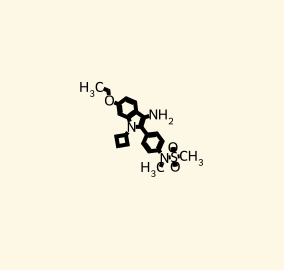 CCOc1ccc2c(N)c(-c3ccc(N(C)S(C)(=O)=O)cc3)n(C3CCC3)c2c1